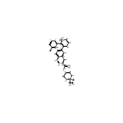 Cc1cccc(C2=C(c3ccc4ncc(C(=O)O[C@H]5CC[C@@](C)(N)CC5)cc4c3)CC=CN2)n1